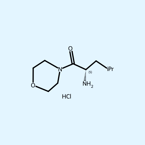 CC(C)C[C@H](N)C(=O)N1CCOCC1.Cl